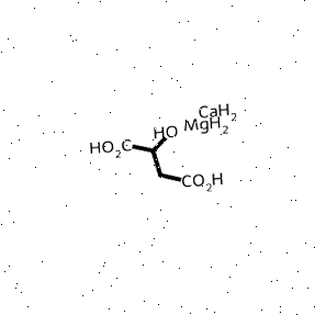 O=C(O)CC(O)C(=O)O.[CaH2].[MgH2]